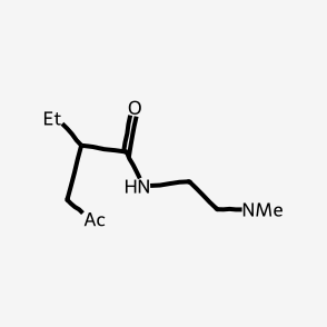 CCC(CC(C)=O)C(=O)NCCNC